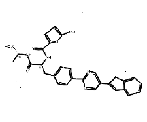 C[C@@H](NC(=O)[C@H](Cc1ccc(-c2ncc(C3=Cc4ccccc4C3)cn2)cc1)NC(=O)c1ccc(C(C)(C)C)s1)C(=O)O